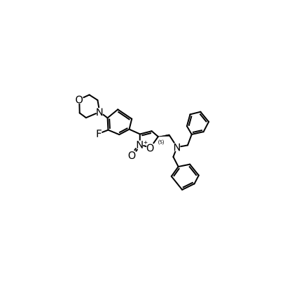 O=[N+]1O[C@H](CN(Cc2ccccc2)Cc2ccccc2)C=C1c1ccc(N2CCOCC2)c(F)c1